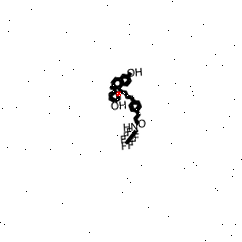 CC1(c2ccc(O)cc2)CCc2cc(O)ccc2C1CCCCc1ccc(CCC(=O)NCC(F)(F)C(F)(F)C(F)(F)F)cc1